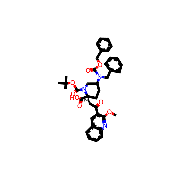 COc1nc2ccccc2cc1C(=O)C[C@]1(C(=O)O)CCC(N(Cc2ccccc2)C(=O)OCc2ccccc2)CN1C(=O)OC(C)(C)C